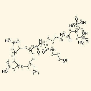 CCN1CCN(CC(=O)O)CCN(CC(=O)O)CCN(CC(=O)N[C@H](CCCCNC(=O)CN(CP(=O)(O)O)CP(=O)(O)O)C(=O)NCCCO)CC1